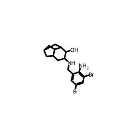 Nc1c(Br)cc(Br)cc1CNC1CC2CC3CC2C(C3)C1O